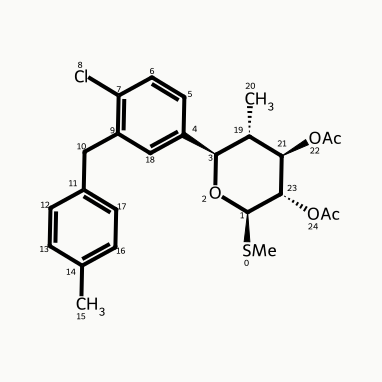 CS[C@H]1O[C@@H](c2ccc(Cl)c(Cc3ccc(C)cc3)c2)[C@H](C)[C@@H](OC(C)=O)[C@@H]1OC(C)=O